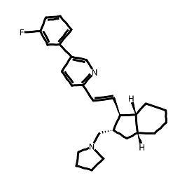 Fc1cccc(-c2ccc(C=C[C@@H]3[C@@H](CN4CCCC4)C[C@H]4CCCC[C@H]43)nc2)c1